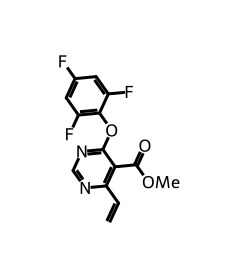 C=Cc1ncnc(Oc2c(F)cc(F)cc2F)c1C(=O)OC